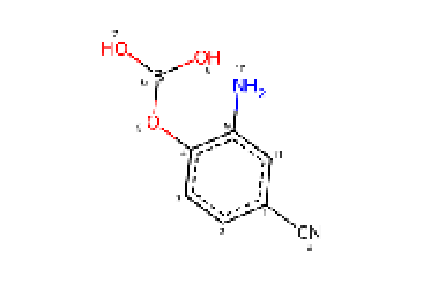 N#Cc1ccc(OB(O)O)c(N)c1